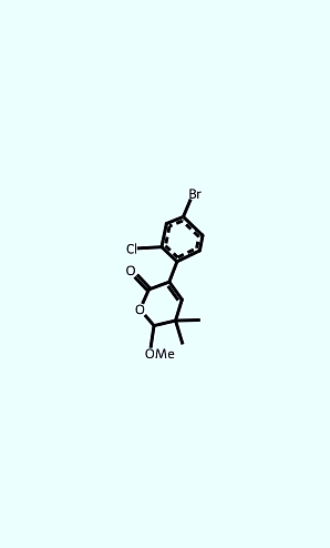 COC1OC(=O)C(c2ccc(Br)cc2Cl)=CC1(C)C